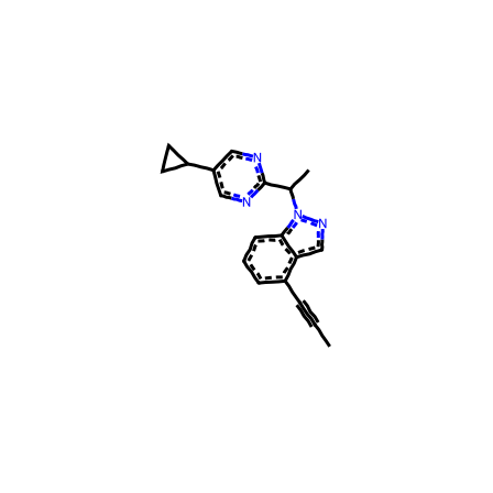 CC#Cc1cccc2c1cnn2C(C)c1ncc(C2CC2)cn1